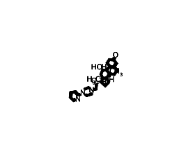 C[C@]12C[C@@H](O)[C@H]3[C@@H](CCC4=CC(=O)CC[C@@]43C)[C@@H]1CC[C@@H]2C(=O)CN1CCN(c2ccccn2)CC1